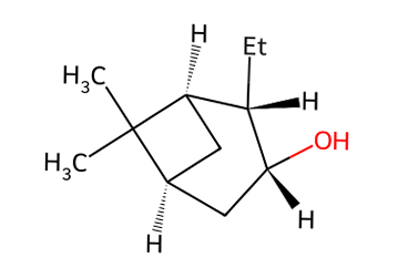 CC[C@@H]1[C@H](O)C[C@@H]2C[C@H]1C2(C)C